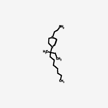 CCCCCCCC(C)(CC)N1CCN(CCN)CC1